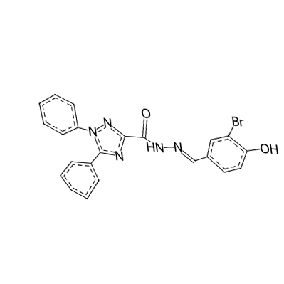 O=C(N/N=C/c1ccc(O)c(Br)c1)c1nc(-c2ccccc2)n(-c2ccccc2)n1